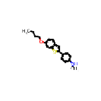 CCCCOc1ccc2cc(-c3ccc(NC)cc3)sc2c1